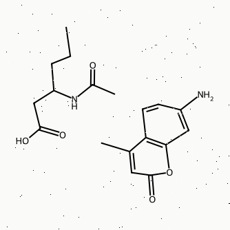 CCCC(CC(=O)O)NC(C)=O.Cc1cc(=O)oc2cc(N)ccc12